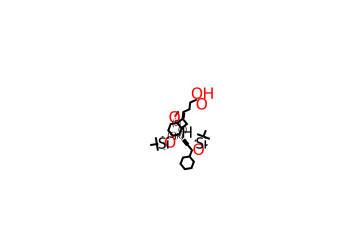 CO[C@@]12CC[C@H](O[Si](C)(C)C(C)(C)C)[C@@H](C#CC(O[Si](C)(C)C(C)(C)C)C3CCCCC3)[C@@H]1CC2=CCCC(=O)O